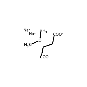 O=C([O-])CCC(=O)[O-].[Na+].[Na+].[SiH3]O[SiH3]